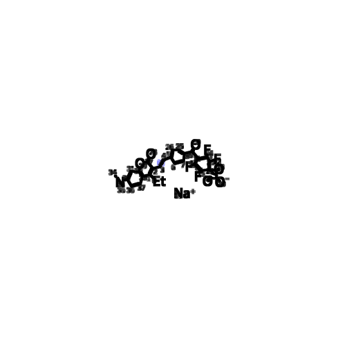 CCc1c(/C=C/c2ccc(C(=O)c3c(F)c(F)c(S(=O)(=O)[O-])c(F)c3F)cc2)c(=O)oc2cc(N(C)C)ccc12.[Na+]